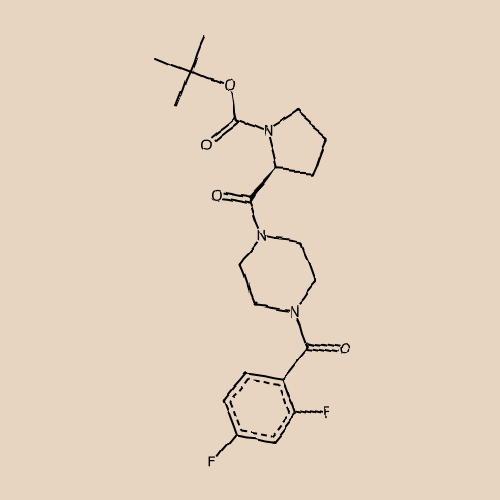 CC(C)(C)OC(=O)N1CCC[C@H]1C(=O)N1CCN(C(=O)c2ccc(F)cc2F)CC1